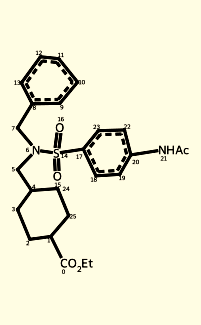 CCOC(=O)C1CCC(CN(Cc2ccccc2)S(=O)(=O)c2ccc(NC(C)=O)cc2)CC1